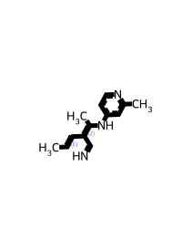 C/C=C/C(C=N)=C(\C)Nc1ccnc(C)c1